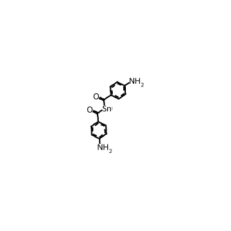 Nc1ccc([C](=O)[Sn][C](=O)c2ccc(N)cc2)cc1